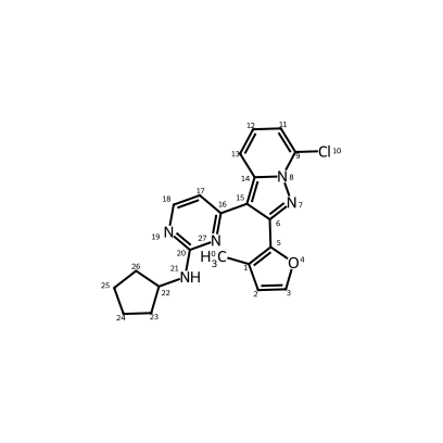 Cc1ccoc1-c1nn2c(Cl)cccc2c1-c1ccnc(NC2CCCC2)n1